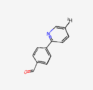 [2H]c1ccc(-c2ccc(C=O)cc2)nc1